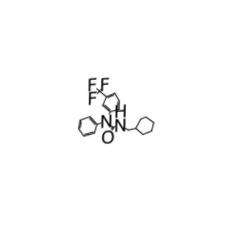 O=C(NCC1CCCCC1)N(c1ccccc1)c1cccc(C(F)(F)F)c1